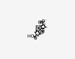 O=C(O)c1ccc(C(c2cccc([N+](=O)[O-])c2)(C(F)(F)F)C(F)(F)F)cc1